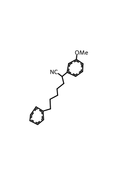 COc1cccc(C(C#N)CCCCCc2ccccc2)c1